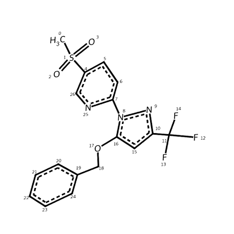 CS(=O)(=O)c1ccc(-n2nc(C(F)(F)F)cc2OCc2ccccc2)nc1